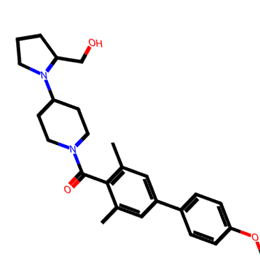 Cc1cc(-c2ccc(OC(F)(F)F)cc2)cc(C)c1C(=O)N1CCC(N2CCCC2CO)CC1